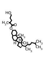 C=C(CCCO)C(=O)O[C@H]1CC[C@@]2(C)C(CC[C@@H]3C2CC[C@]2(C)[C@@H]([C@H](C)CCCC(C)C)CC[C@@H]32)C1